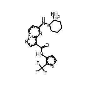 N[C@H]1CCCC[C@H]1Nc1ccn2ncc(C(=O)Nc3ccsc3C(F)(F)F)c2n1